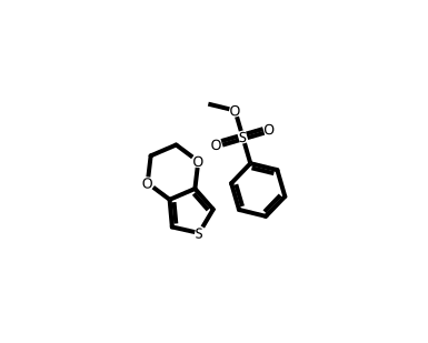 COS(=O)(=O)c1ccccc1.c1scc2c1OCCO2